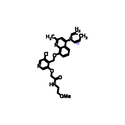 C=CN(/C=C\C)c1cc(C)nc2c(OCc3c(Cl)cncc3OCC(=O)NCCOC)cccc12